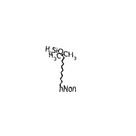 CCCCCCCCCCCCCCCCCCCC(C)(C)O[SiH3]